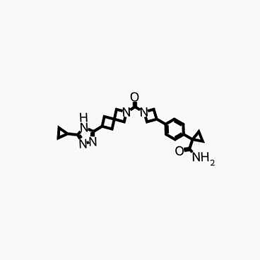 NC(=O)C1(c2ccc(C3CN(C(=O)N4CC5(CC(c6nnc(C7CC7)[nH]6)C5)C4)C3)cc2)CC1